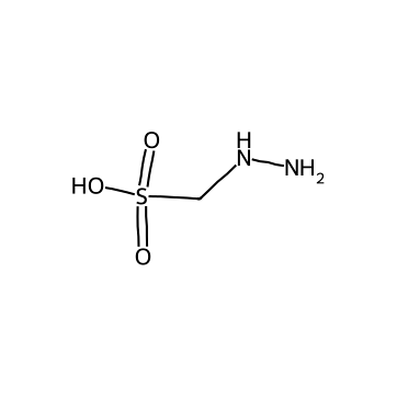 NNCS(=O)(=O)O